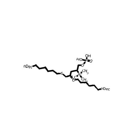 CCCCCCCCCCCCCCCCOC(CSCCCCCCCCCCCCCCCC)CC(COP(=O)(O)O)[N+](C)(C)C